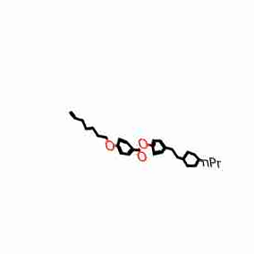 C=CCCCCCOc1ccc(C(=O)Oc2ccc(CCC3CCC(CCC)CC3)cc2)cc1